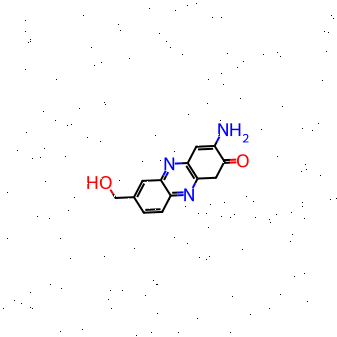 NC1=Cc2nc3cc(CO)ccc3nc2CC1=O